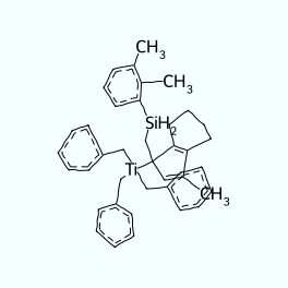 CC1=C[C](C[SiH2]c2cccc(C)c2C)([Ti]([CH2]c2ccccc2)([CH2]c2ccccc2)[CH2]c2ccccc2)C2=C1CCCC2